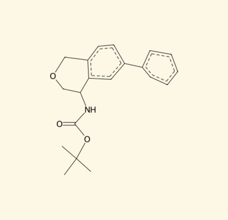 CC(C)(C)OC(=O)NC1COCc2ccc(-c3ccccc3)cc21